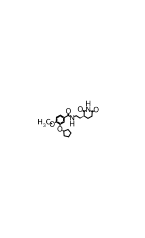 COc1ccc(C(=O)NCC[C@@H]2CCC(=O)NC2=O)cc1OC1CCCC1